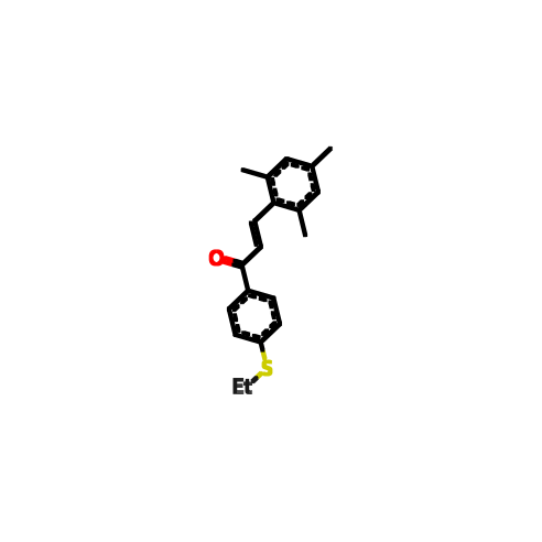 CCSc1ccc(C(=O)C=Cc2c(C)cc(C)cc2C)cc1